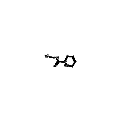 CC(C)NC(=O)N1CC=CCN1